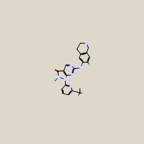 CC(C)n1c(=O)c2cnc(Nc3cc4c(cc3F)CNCC4)nc2n1-c1cccc(C(C)(C)C#N)n1